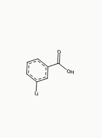 [Li][c]1cccc(C(=O)O)c1